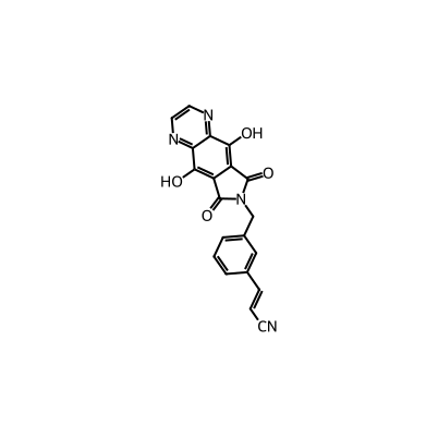 N#CC=Cc1cccc(CN2C(=O)c3c(c(O)c4nccnc4c3O)C2=O)c1